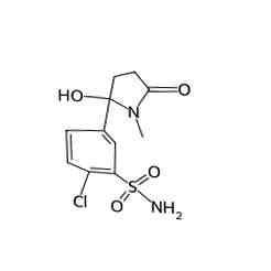 CN1C(=O)CCC1(O)c1ccc(Cl)c(S(N)(=O)=O)c1